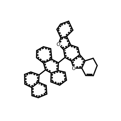 C1=Cc2oc3c(-c4c5ccccc5c(-c5cccc6ccccc56)c5ccccc45)c4oc5ccccc5c4cc3c2CC1